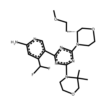 COCC[C@@H]1COCCN1c1nc(-c2cnc(N)cc2C(F)F)nc(N2CCOCC2(C)C)n1